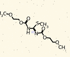 COCCOC(=O)/N=C(/NC(=O)OCCOC)SC